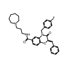 O=C(NCCCN1CCCCCC1)c1ccc2c(c1)N(Cc1ccc(F)cc1)C(=O)C(=Cc1ccccc1)S2